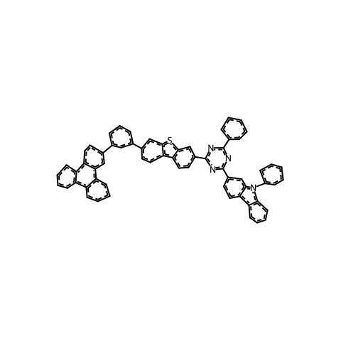 c1ccc(-c2nc(-c3ccc4c(c3)sc3cc(-c5cccc(-c6ccc7c8ccccc8c8ccccc8c7c6)c5)ccc34)nc(-c3ccc4c5ccccc5n(-c5ccccc5)c4c3)n2)cc1